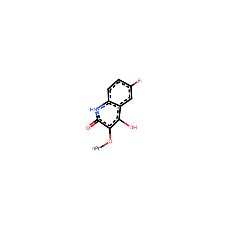 CCCOc1c(O)c2cc(Br)ccc2[nH]c1=O